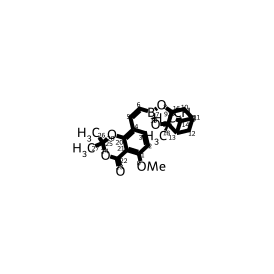 COc1ccc(/C=C\B2OC3CC4CC(C4(C)C)[C@]3(C)O2)c2c1C(=O)OC(C)(C)O2